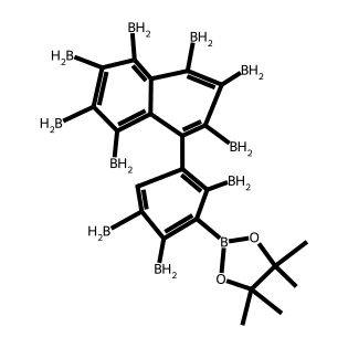 Bc1cc(-c2c(B)c(B)c(B)c3c(B)c(B)c(B)c(B)c23)c(B)c(B2OC(C)(C)C(C)(C)O2)c1B